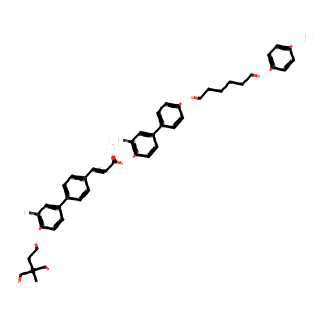 CCc1cc(-c2ccc(/C=C/C(=O)Oc3ccc(-c4ccc(OCCCCCCOc5ccc(O)cc5)cc4)cc3CC)cc2)ccc1OCCC(C)(CO)CO